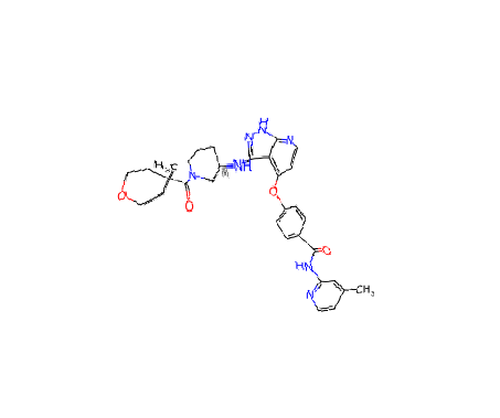 Cc1ccnc(NC(=O)c2ccc(Oc3ccnc4[nH]nc(N[C@@H]5CCCN(C(=O)C6(C)CCOCC6)C5)c34)cc2)c1